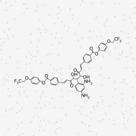 Nc1ccc(C(C(O)C(=O)/C=C/c2ccc(C(=O)Oc3ccc(OCC(F)(F)F)cc3)cc2)C(O)C(=O)/C=C/c2ccc(C(=O)Oc3ccc(OCC(F)(F)F)cc3)cc2)c(N)c1